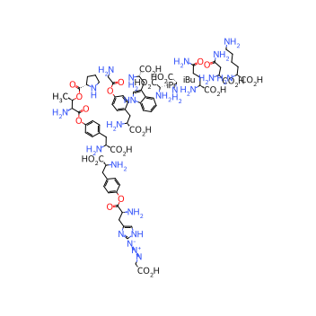 CC(C)[C@H](N)C(=O)O.CC[C@H](C)[C@H](N)C(=O)O.C[C@@H](OC(=O)[C@@H]1CCCN1)[C@H](N)C(=O)Oc1ccc(C[C@H](N)C(=O)O)cc1.NC(=O)CC[C@H](N)C(=O)O.NC(=O)C[C@H](N)C(=O)O.NCC(=O)Oc1ccc(C[C@H](N)C(=O)O)cc1.NCCCC[C@H](N)C(=O)O.N[C@@H](Cc1c[nH]c2ccccc12)C(=O)O.N[C@@H](Cc1ccc(OC(=O)[C@@H](N)Cc2c[nH]cn2)cc1)C(=O)O.[N-]=[N+]=NCC(=O)O